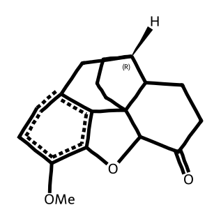 COc1ccc2c3c1OC1C(=O)CCC4[C@H](CCCC314)C2